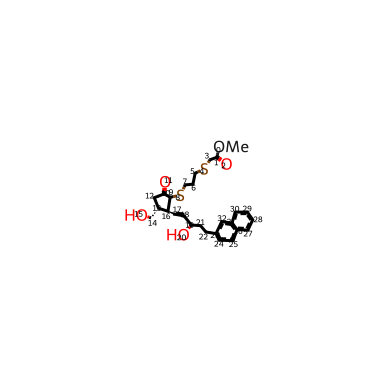 COC(=O)CSCCCSC1C(=O)C[C@@H](CO)[C@@H]1C=CC(O)CCc1ccc2ccccc2c1